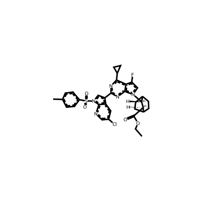 CCOC(=O)[C@@H]1C2CCC(CC2)[C@H]1n1cc(F)c2c(C3CC3)nc(-c3cn(S(=O)(=O)c4ccc(C)cc4)c4ncc(Cl)cc34)nc21